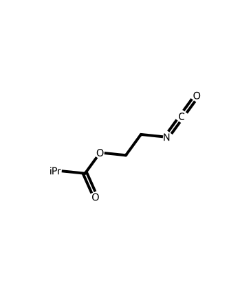 CC(C)C(=O)OCCN=C=O